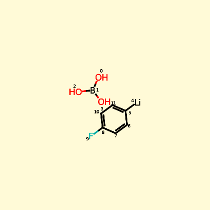 OB(O)O.[Li][c]1ccc(F)cc1